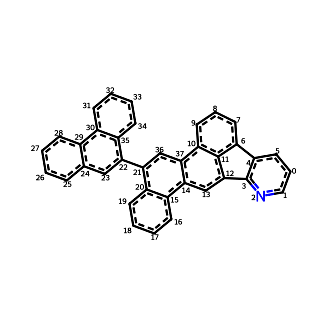 c1cnc2c(c1)-c1cccc3c1c-2cc1c2ccccc2c(-c2cc4ccccc4c4ccccc24)cc31